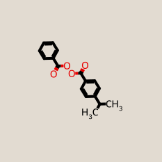 CC(C)c1ccc(C(=O)OOC(=O)c2ccccc2)cc1